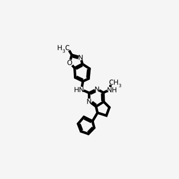 CNc1nc(Nc2ccc3nc(C)oc3c2)nc2c1CCC2c1ccccc1